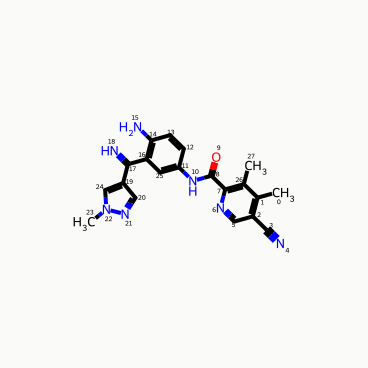 Cc1c(C#N)cnc(C(=O)Nc2ccc(N)c(C(=N)c3cnn(C)c3)c2)c1C